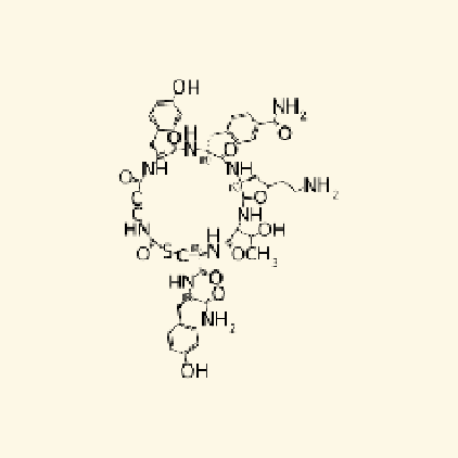 CC(O)C1NC(=O)[C@H](CCCCN)NC(=O)[C@@H](Cc2ccc(C(N)=O)cc2)NC(=O)[C@H](Cc2ccc(O)cc2)NC(=O)CCNC(=O)SC[C@@H](C(=O)N[C@H](Cc2ccc(O)cc2)C(N)=O)NC1=O